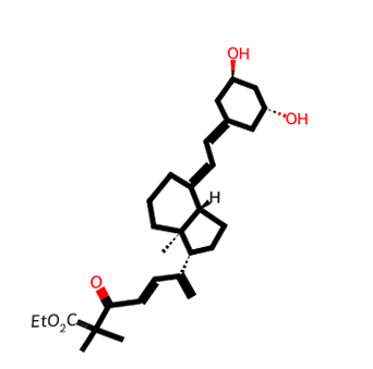 C=C(/C=C/C(=O)C(C)(C)C(=O)OCC)[C@H]1CC[C@H]2/C(=C/C=C3C[C@@H](O)C[C@H](O)C3)CCC[C@]12C